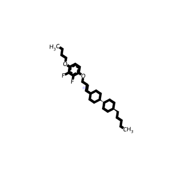 CCCCC[C@H]1CC[C@H](C2CCC(/C=C/COc3ccc(OCCCC)c(F)c3F)CC2)CC1